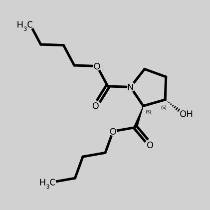 CCCCOC(=O)[C@@H]1[C@@H](O)CCN1C(=O)OCCCC